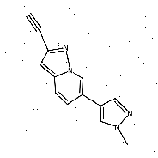 C#Cc1cc2ccc(-c3cnn(C)c3)cn2n1